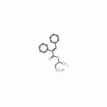 O=C(OC(CS(=O)(=O)O)C(F)(F)F)/C(=C/c1ccccc1)c1ccccc1